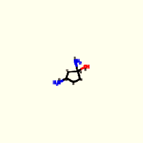 N[C@@H]1CC[C@@](N)(O)C1